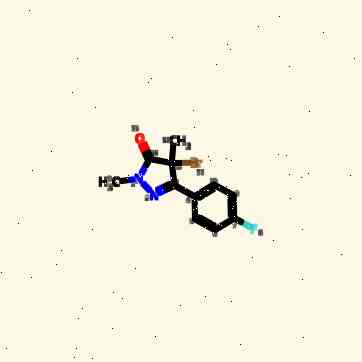 CN1N=C(c2ccc(F)cc2)C(C)(Br)C1=O